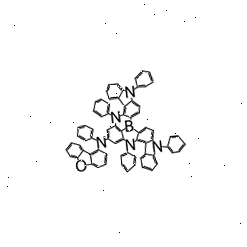 c1ccc(N(c2cc3c4c(c2)N(c2ccccc2)c2c(ccc5c2c2ccccc2n5-c2ccccc2)B4c2ccc4c(c2N3c2ccccc2)c2ccccc2n4-c2ccccc2)c2cccc3oc4ccccc4c23)cc1